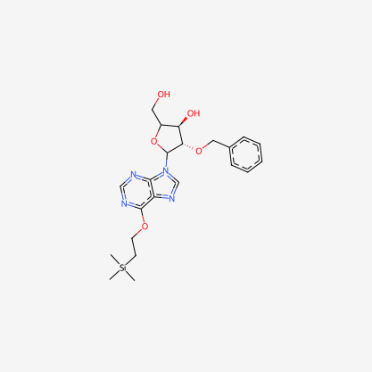 C[Si](C)(C)CCOc1ncnc2c1ncn2C1OC(CO)[C@@H](O)[C@@H]1OCc1ccccc1